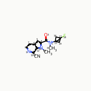 CN(C(=O)c1cc2ccnc(C#N)c2n1C)C12CC(F)(C1)C2